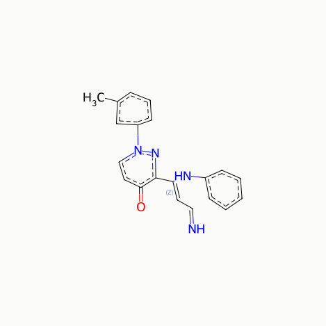 Cc1cccc(-n2ccc(=O)c(/C(=C/C=N)Nc3ccccc3)n2)c1